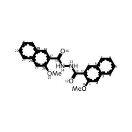 COc1cc2ccccc2cc1C(=O)NNC(=O)c1cc2ccccc2cc1OC